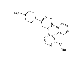 CCCCOc1nccc2c1c1cnccc1c(=O)n2CC(=O)C1CCN(C(=O)O)CC1